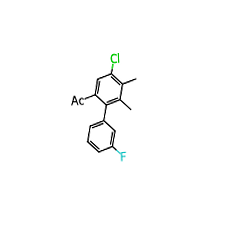 CC(=O)c1cc(Cl)c(C)c(C)c1-c1cccc(F)c1